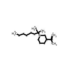 C=C(C)C1CCCN(C(C)(N)CCCCCC)C1